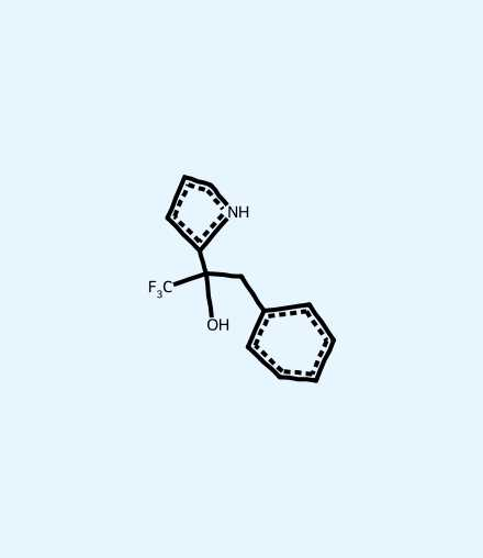 OC(Cc1ccccc1)(c1ccc[nH]1)C(F)(F)F